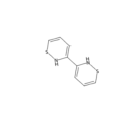 [C]1=C(C2=CC=CSN2)NSC=C1